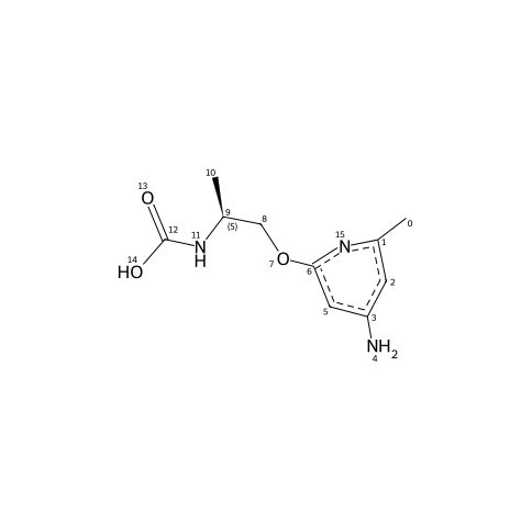 Cc1cc(N)cc(OC[C@H](C)NC(=O)O)n1